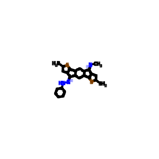 Bc1cc2/c(=N\C)c3cc4c(cc3c2s1)/c(=N/Nc1ccccc1)c1cc(B)sc14